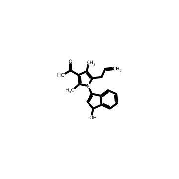 C=CCc1c(C)c(C(=O)O)c(C)n1C1=CC(O)c2ccccc21